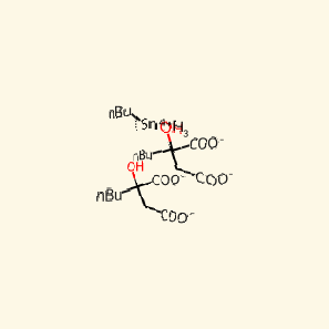 CCCCC(O)(CC(=O)[O-])C(=O)[O-].CCCCC(O)(CC(=O)[O-])C(=O)[O-].CCC[CH2][SnH3+4]